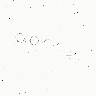 CNC1(C(=O)O)CCN(CC(=O)N2CC=C(c3ccc(-c4ncccn4)cc3)CC2)C1